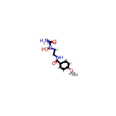 CCCCOc1ccc(C(=O)NCCN(O)C(N)=O)cc1